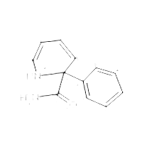 NC(=O)C1(c2ccccc2)C=CC=CN1